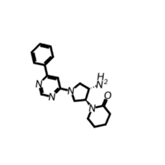 N[C@H]1CN(c2cc(-c3ccccc3)ncn2)C[C@@H]1N1CCCCC1=O